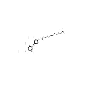 COc1ccc(C(C)(C)c2ccc(OC(=O)CCCCCCCCCCC(C)=O)c(C)c2)cc1C